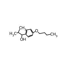 CCCCOc1ccc(C(O)C(C)C)cc1